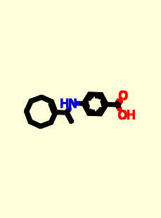 CC(Nc1ccc(C(=O)O)cc1)C1=CCCCCCC1